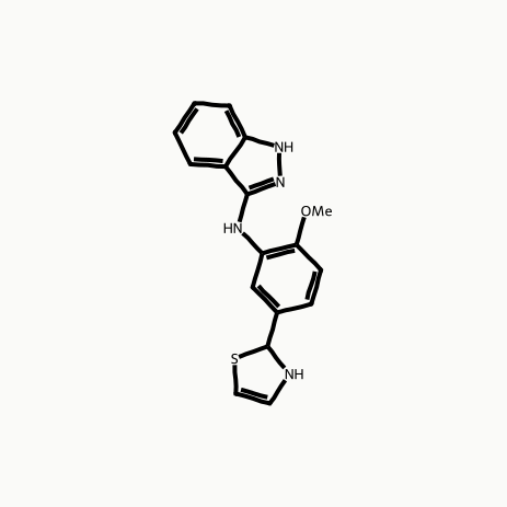 COc1ccc(C2NC=CS2)cc1Nc1n[nH]c2ccccc12